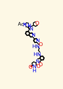 CC(=O)N1CCn2c(C3CCOCC3)nc(-c3cccc4cc(-c5ccc(C(=O)NCCCNc6cccc7c6CN(C6CCC(=O)NC6=O)C7=O)nc5)ncc34)c2C1